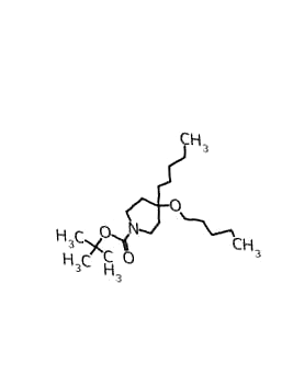 CCCCCOC1(CCCCC)CCN(C(=O)OC(C)(C)C)CC1